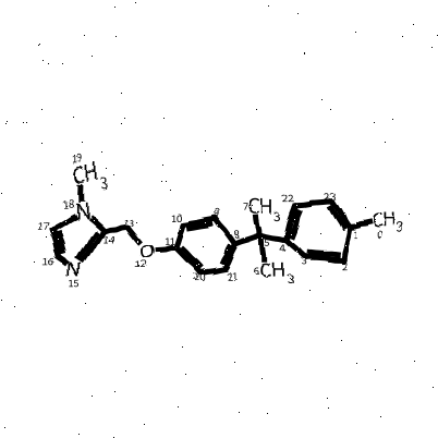 Cc1ccc(C(C)(C)c2ccc(OCc3nccn3C)cc2)cc1